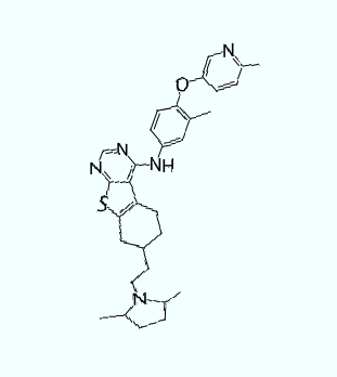 Cc1ccc(Oc2ccc(Nc3ncnc4sc5c(c34)CCC(CCN3C(C)CCC3C)C5)cc2C)cn1